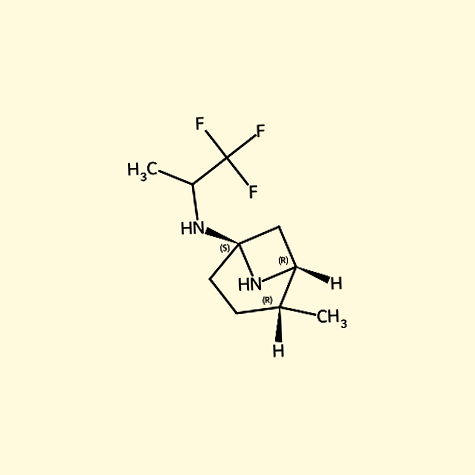 CC(N[C@@]12CC[C@@H](C)[C@@H](C1)N2)C(F)(F)F